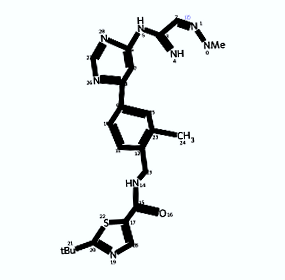 CN/N=C\C(=N)Nc1cc(-c2ccc(CNC(=O)c3cnc(C(C)(C)C)s3)c(C)c2)ncn1